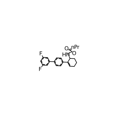 CCCS(=O)(=O)NC1CCCC=C1c1ccc(-c2cc(F)cc(F)c2)cc1